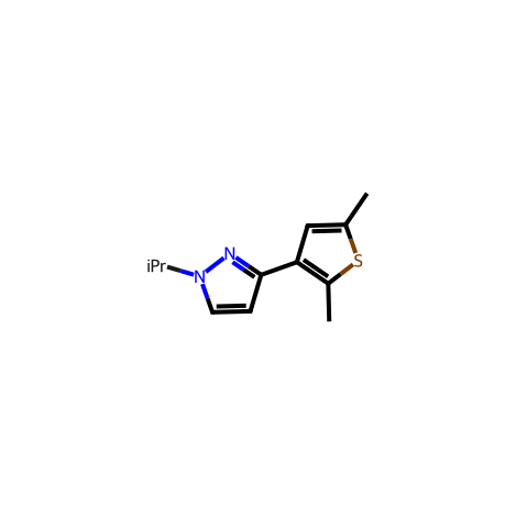 Cc1cc(-c2ccn(C(C)C)n2)c(C)s1